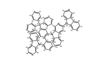 c1ccc([Si](c2ccccc2)(c2ccccc2)c2ccc(-c3ccccc3-n3c4ccccc4c4ccccc43)c(-n3c4ccccc4c4cc(-n5c6ccccc6c6ccccc65)ccc43)c2)cc1